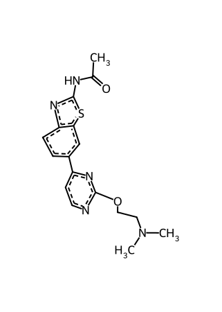 CC(=O)Nc1nc2ccc(-c3ccnc(OCCN(C)C)n3)cc2s1